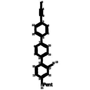 CC#Cc1ccc(-c2ccc(-c3ccc(CCCCC)cc3F)cc2)cc1